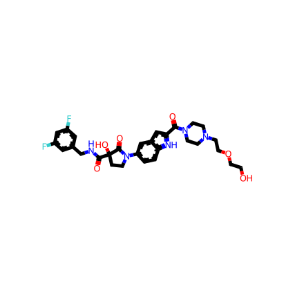 O=C(c1cc2cc(N3CCC(O)(C(=O)NCc4cc(F)cc(F)c4)C3=O)ccc2[nH]1)N1CCN(CCOCCO)CC1